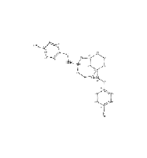 Fc1ccc(CN[SH]2CCCC3(NCc4ccc(F)cc4)CCCC(C2)C3)cc1